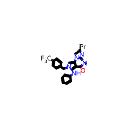 CC(C)[C@@H]1CN2C(=N1)N(C)C(=O)c1c2cn(Cc2ccc(C(F)(F)F)cc2)c1Nc1ccccc1